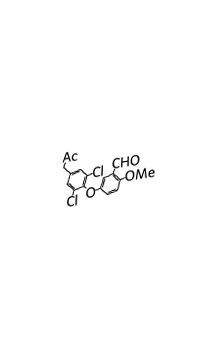 COc1ccc(Oc2c(Cl)cc(CC(C)=O)cc2Cl)cc1C=O